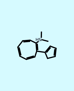 C[SiH](C)C1=C(C2=CC=CC2)C=CC=CC=C1